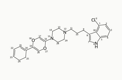 Clc1cccc2[nH]cc(CCCN3CCN(C4=COC(C5=CC=CCC5)=CO4)CC3)c12